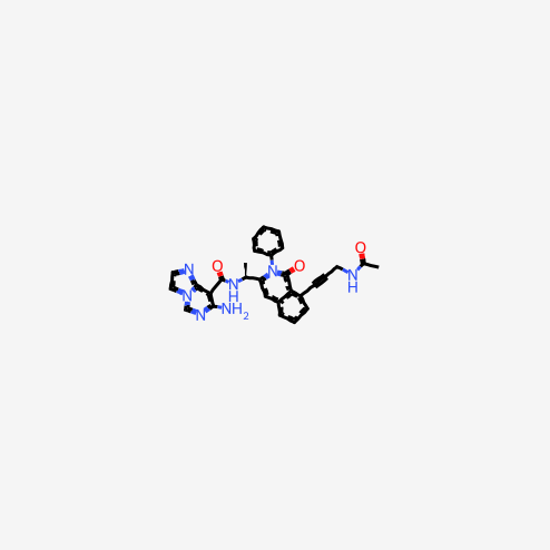 CC(=O)NCC#Cc1cccc2cc([C@H](C)NC(=O)c3c(N)ncn4ccnc34)n(-c3ccccc3)c(=O)c12